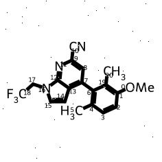 COc1ccc(C)c(-c2cc(C#N)nc3c2ccn3CC(F)(F)F)c1C